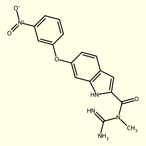 CN(C(=N)N)C(=O)c1cc2ccc(Oc3cccc([N+](=O)[O-])c3)cc2[nH]1